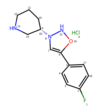 Cl.Fc1ccc(C2=CN([C@H]3CCCNC3)NO2)cc1